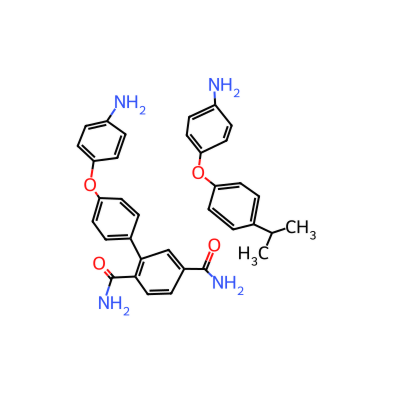 CC(C)c1ccc(Oc2ccc(N)cc2)cc1.NC(=O)c1ccc(C(N)=O)c(-c2ccc(Oc3ccc(N)cc3)cc2)c1